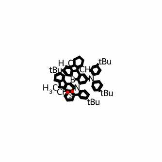 CC(C)(C)c1ccc(N(c2ccc(C(C)(C)C)cc2)c2cc3c4c(c2)N(c2ccc(C(C)(C)C)cc2-c2ccccc2)c2ccc5c(c2B4c2cc(C(C)(C)C)cc4c2C3C2(C)CCCCC42C)-c2ccccc2C5(C)C)cc1